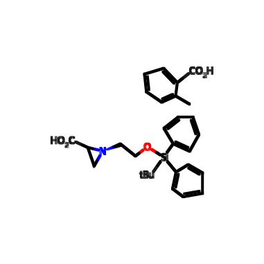 CC(C)(C)[Si](OCC[N@@]1CC1C(=O)O)(c1ccccc1)c1ccccc1.Cc1ccccc1C(=O)O